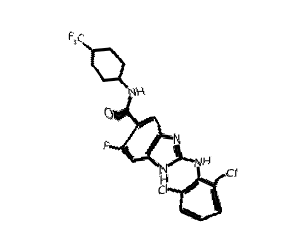 O=C(NC1CCC(C(F)(F)F)CC1)c1cc2nc(Nc3c(Cl)cccc3Cl)[nH]c2cc1F